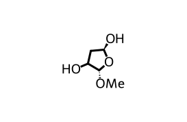 CO[C@H]1O[C@H](O)CC1O